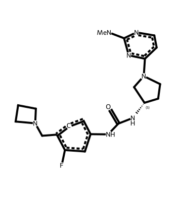 CNc1nccc(N2CC[C@H](NC(=O)Nc3ccc(CN4CCC4)c(F)c3)C2)n1